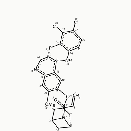 C=CC(=O)N1C2CC(Oc3cc4c(Nc5ccc(Cl)c(Cl)c5F)ncnc4cc3OC)CC1C2